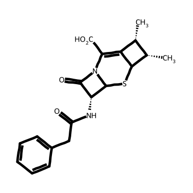 C[C@@H]1C2SC3[C@H](NC(=O)Cc4ccccc4)C(=O)N3C(C(=O)O)=C2[C@@H]1C